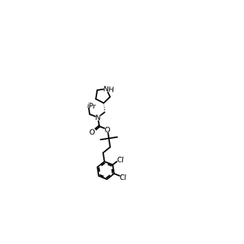 CC(C)CN(C[C@@H]1CCNC1)C(=O)OC(C)(C)CCc1cccc(Cl)c1Cl